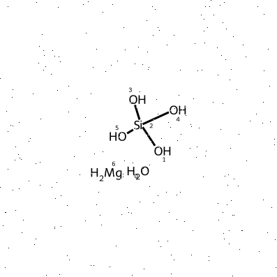 O.O[Si](O)(O)O.[MgH2]